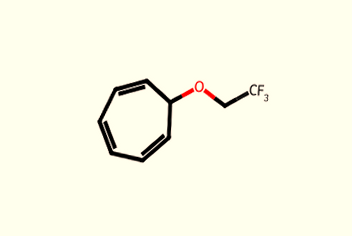 FC(F)(F)COC1C=CC=CC=C1